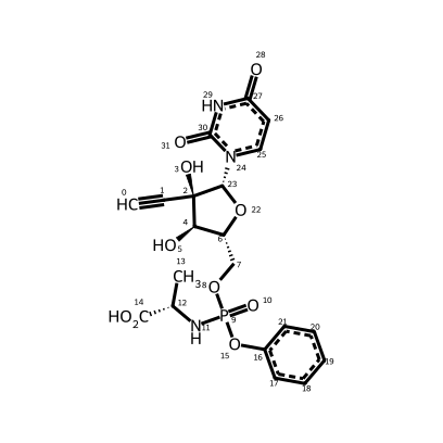 C#C[C@@]1(O)[C@H](O)[C@@H](COP(=O)(N[C@@H](C)C(=O)O)Oc2ccccc2)O[C@H]1n1ccc(=O)[nH]c1=O